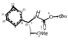 COC[C@@H](NC(=O)OC(C)(C)C)c1ccccn1